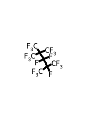 FC(F)(F)C(F)(C(F)(F)F)C(F)(F)C(C(F)(F)F)(C(F)(F)F)C(F)(F)F